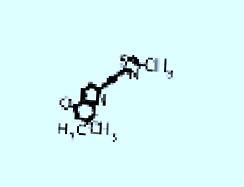 Cc1csc(C#Cc2ccc3c(n2)CC(C)(C)CC3=O)n1